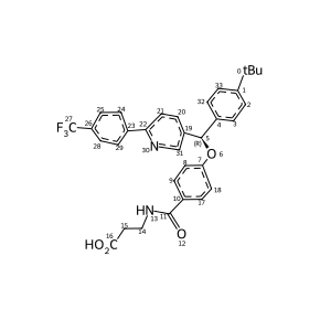 CC(C)(C)c1ccc([C@@H](Oc2ccc(C(=O)NCCC(=O)O)cc2)c2ccc(-c3ccc(C(F)(F)F)cc3)nc2)cc1